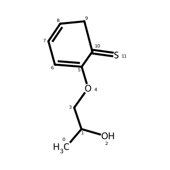 CC(O)COC1=CC=CCC1=S